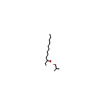 CCCCCCCCCC(CC)C(=O)OCC(C)C